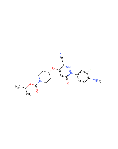 [C-]#[N+]c1ccc(-n2nc(C#N)c(OC3CCN(C(=O)OC(C)C)CC3)cc2=O)cc1F